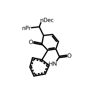 CCCCCCCCCCC(CCC)C1C=CC(C([NH])=O)=C(c2ccccc2)C1=O